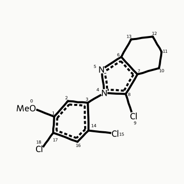 COc1cc(-n2nc3c(c2Cl)CCCC3)c(Cl)cc1Cl